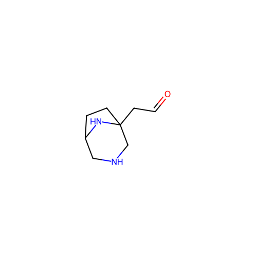 O=CCC12CCC(CNC1)N2